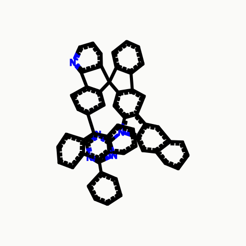 c1ccc(-c2c3ccccc3c(-c3ccc4c(c3)C3(c5ccccc5-c5cc6c7cc8ccccc8cc7n(-c7ncncn7)c6cc53)c3cccnc3-4)c3ccccc23)cc1